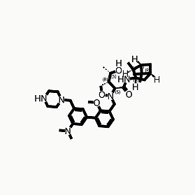 COc1c(CN2OC[C@H]([C@H](C)O)[C@H]2C(=O)N[C@H]2C[C@H]3C[C@@H]([C@@H]2C)C3(C)C)cccc1-c1cc(CN2CCNCC2)cc(N(C)C)c1